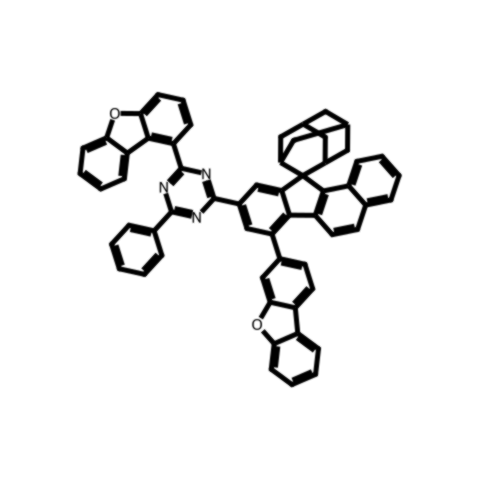 c1ccc(-c2nc(-c3cc(-c4ccc5c(c4)oc4ccccc45)c4c(c3)C3(c5c-4ccc4ccccc54)C4CC5CC(C4)CC3C5)nc(-c3cccc4oc5ccccc5c34)n2)cc1